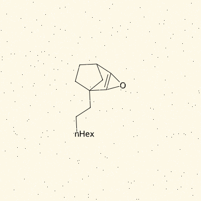 CCCCCCCCC12CCC(C1)C1=C2O1